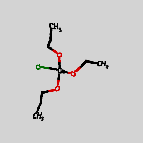 CC[O][Ge]([Cl])([O]CC)[O]CC